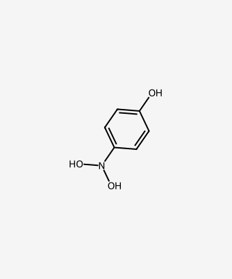 Oc1ccc(N(O)O)cc1